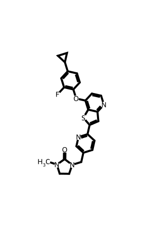 CN1CCN(Cc2ccc(-c3cc4nccc(Oc5ccc(C6CC6)cc5F)c4s3)nc2)C1=O